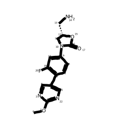 COc1ncc(-c2ccc(N3C[C@H](CN)OC3=O)cc2F)cn1